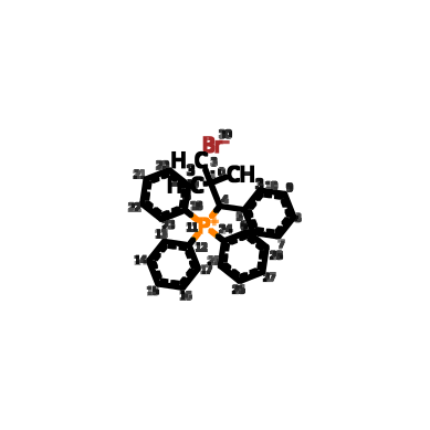 CC(C)(C)C(c1ccccc1)[P+](c1ccccc1)(c1ccccc1)c1ccccc1.[Br-]